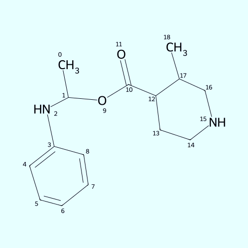 CC(Nc1ccccc1)OC(=O)C1CCNCC1C